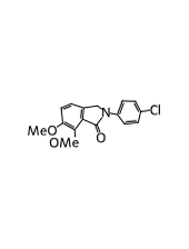 COc1ccc2c(c1OC)C(=O)N(c1ccc(Cl)cc1)C2